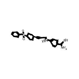 N=C(N)c1ccc(NCC#Cc2ccc(S(=O)(=O)c3ccccc3)cc2)cc1